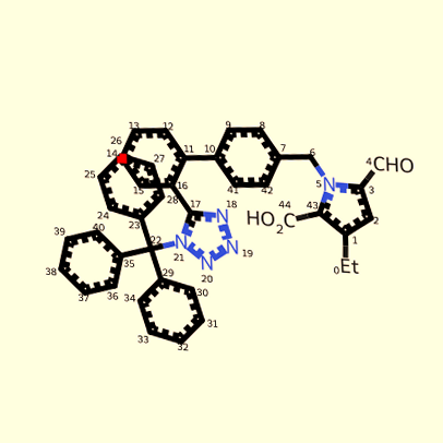 CCc1cc(C=O)n(Cc2ccc(-c3ccccc3-c3nnnn3C(c3ccccc3)(c3ccccc3)c3ccccc3)cc2)c1C(=O)O